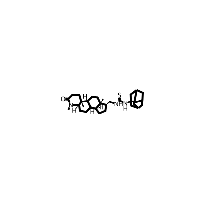 CN1C(=O)CC[C@]2(C)[C@H]3CC[C@]4(C)[C@@H](CNC(=S)NC56CC7CC(CC(C7)C5)C6)CC[C@H]4[C@@H]3CC[C@@H]12